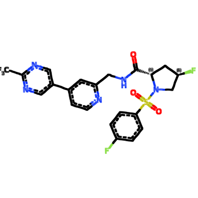 O=C(NCc1cc(-c2cnc(C(F)(F)F)nc2)ccn1)[C@@H]1C[C@@H](F)CN1S(=O)(=O)c1ccc(F)cc1